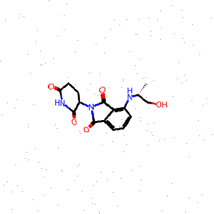 C[C@H](CO)Nc1cccc2c1C(=O)N(C1CCC(=O)NC1=O)C2=O